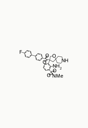 CNS(=O)(=O)c1cccc(C2(S(=O)(=O)c3ccc(-c4ccc(F)cc4)cc3)COC3(CCNCC3)C2)c1N